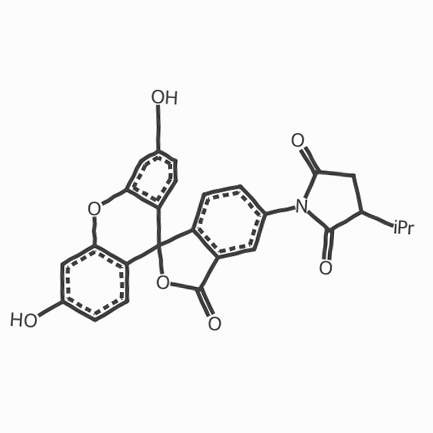 CC(C)C1CC(=O)N(c2ccc3c(c2)C(=O)OC32c3ccc(O)cc3Oc3cc(O)ccc32)C1=O